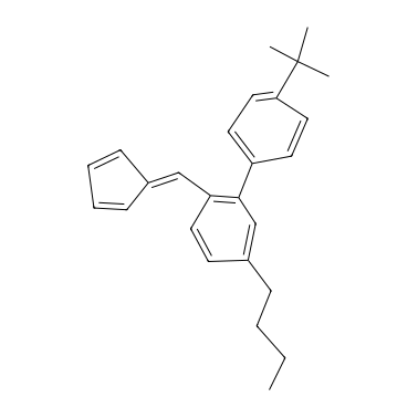 CCCCc1ccc(C=C2C=CC=C2)c(-c2ccc(C(C)(C)C)cc2)c1